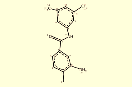 Cc1ccc(C(=O)Nc2cc(C(F)(F)F)cc(C(F)(F)F)c2)cc1N